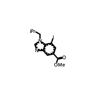 COC(=O)c1cc(I)c2c(c1)ncn2CC(C)C